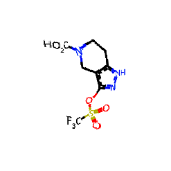 O=C(O)N1CCc2[nH]nc(OS(=O)(=O)C(F)(F)F)c2C1